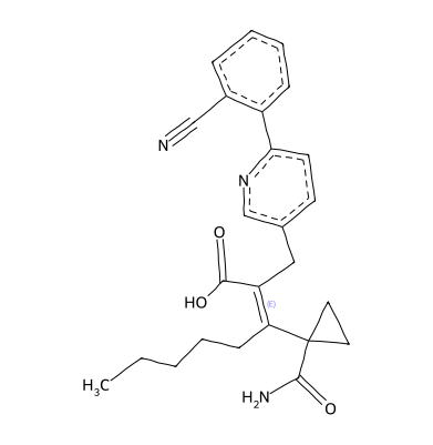 CCCCC/C(=C(/Cc1ccc(-c2ccccc2C#N)nc1)C(=O)O)C1(C(N)=O)CC1